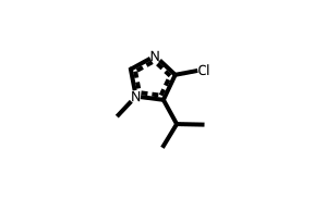 CC(C)c1c(Cl)ncn1C